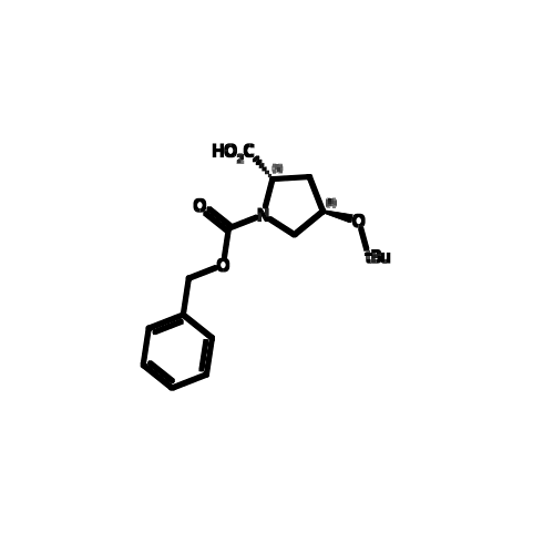 CC(C)(C)O[C@@H]1C[C@@H](C(=O)O)N(C(=O)OCc2ccccc2)C1